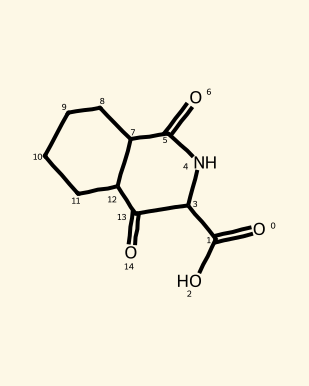 O=C(O)C1NC(=O)C2CCCCC2C1=O